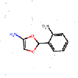 NC1=COC(c2ccccc2[N+](=O)[O-])O1